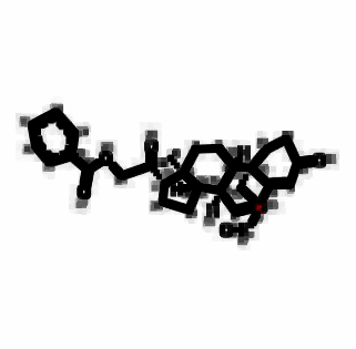 C[C@]12CC[C@H]3[C@@H](C=CC4=CC(=O)CC[C@@]43COC=O)[C@@H]1CC[C@@H]2C(=O)COC(=O)c1ccccc1